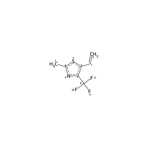 C=Cc1sc(C)nc1C(F)(F)F